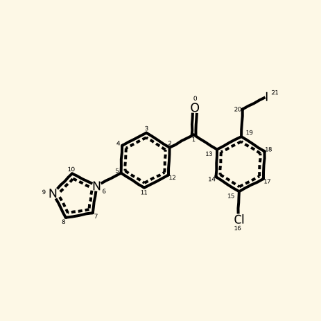 O=C(c1ccc(-n2ccnc2)cc1)c1cc(Cl)ccc1CI